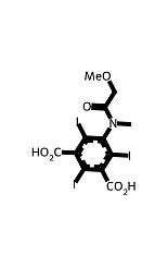 COCC(=O)N(C)c1c(I)c(C(=O)O)c(I)c(C(=O)O)c1I